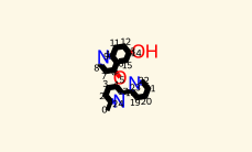 Cc1ccc(Oc2ccnc3ccc(O)cc23)c(-c2ccccn2)n1